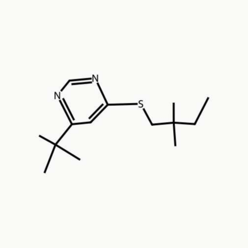 CCC(C)(C)CSc1cc(C(C)(C)C)ncn1